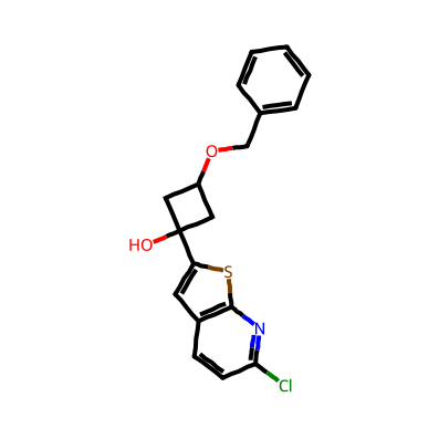 OC1(c2cc3ccc(Cl)nc3s2)CC(OCc2ccccc2)C1